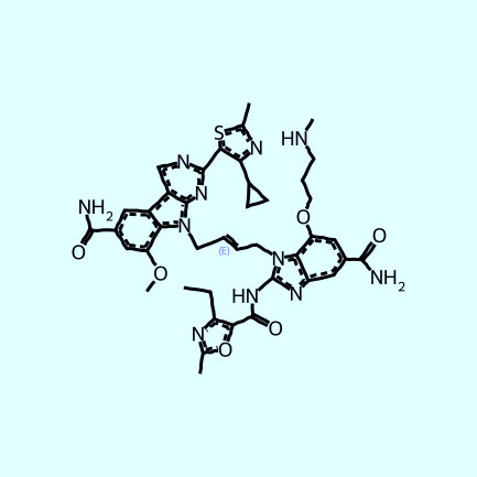 CCc1nc(C)oc1C(=O)Nc1nc2cc(C(N)=O)cc(OCCCNC)c2n1C/C=C/Cn1c2nc(-c3sc(C)nc3C3CC3)ncc2c2cc(C(N)=O)cc(OC)c21